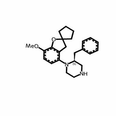 COc1ccc(N2CCNC[C@@H]2Cc2ccccc2)c2c1OC1(CCCC1)C2